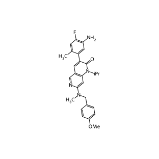 COc1ccc(CN(C)c2cc3c(cn2)cc(-c2cc(N)c(F)cc2C)c(=O)n3C(C)C)cc1